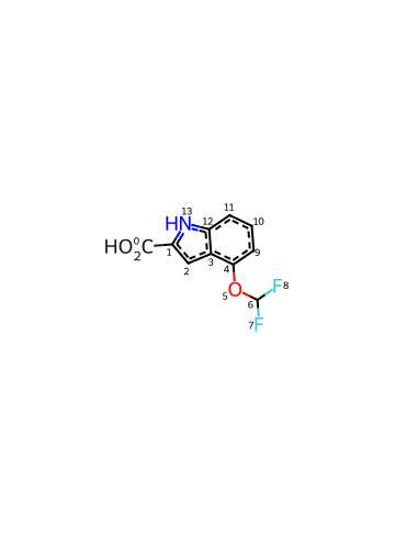 O=C(O)c1cc2c(OC(F)F)cccc2[nH]1